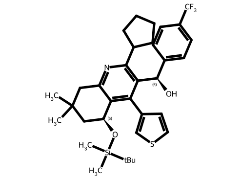 CC1(C)Cc2nc(C3CCCC3)c([C@H](O)c3ccc(C(F)(F)F)cc3)c(-c3ccsc3)c2[C@@H](O[Si](C)(C)C(C)(C)C)C1